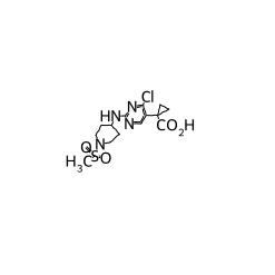 CS(=O)(=O)N1CCC(Nc2ncc(C3(C(=O)O)CC3)c(Cl)n2)CC1